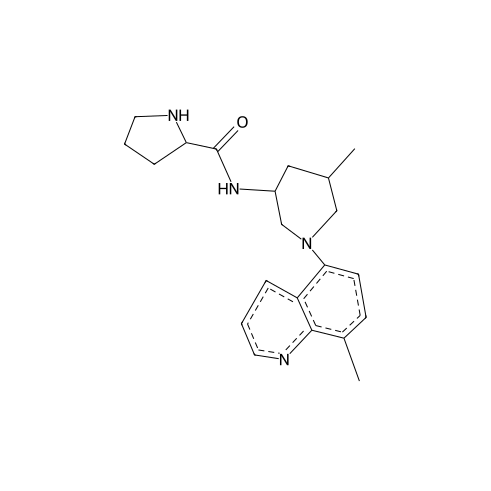 Cc1ccc(N2CC(C)CC(NC(=O)C3CCCN3)C2)c2cccnc12